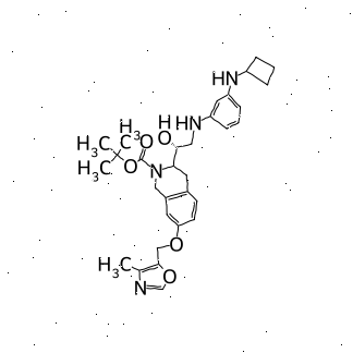 Cc1ncoc1COc1ccc2c(c1)CN(C(=O)OC(C)(C)C)C([C@H](O)CNc1cccc(NC3CCC3)c1)C2